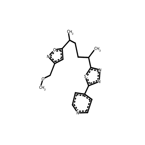 COCc1cc(C(C)CCC(C)c2nnc(-c3ccncc3)s2)on1